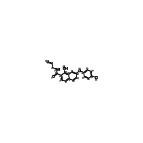 O=CCNC(=O)c1ncc2ccc(Oc3ccc(Cl)cc3)cc2c1O